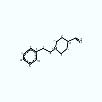 O=CC1CCN(CCc2ccccc2)CC1